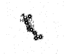 CN(C)CCC(CSc1ccccc1)Nc1ccc(S(=O)(=O)Nc2ncnc3cc(N4CCN(Cc5ccccc5-c5cccnc5)CC4)ccc23)cc1[N+](=O)[O-]